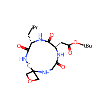 CC(C)C[C@@H]1NC(=O)[C@H](CC(=O)OC(C)(C)C)NC(=O)CNC2(CNC1=O)COC2